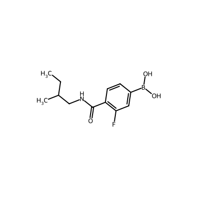 CCC(C)CNC(=O)c1ccc(B(O)O)cc1F